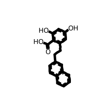 O=C(O)c1c(O)cc(O)cc1CCc1ccc2ccccc2c1